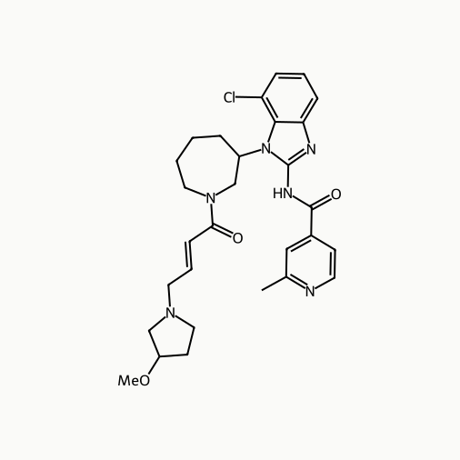 COC1CCN(C/C=C/C(=O)N2CCCCC(n3c(NC(=O)c4ccnc(C)c4)nc4cccc(Cl)c43)C2)C1